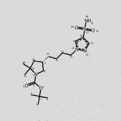 CC(C)(C)OC(=O)N1C[C@@H](CCCCn2cc(S(N)(=O)=O)cn2)CC1(C)C